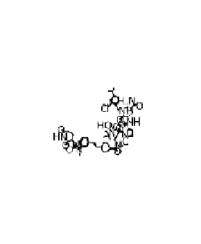 CC(C)c1ccc(CNC(=O)[C@H](CCC(N)=O)NC(=O)[C@@H]2CC=C3CCN(C(=O)C4CCC(CCc5ccc6c(c5)n(C)c(=O)n6C5CCC(=O)NC5=O)CC4)C[C@H](N(C(=O)O)C(C)(C)C)C(=O)N32)c(Cl)c1